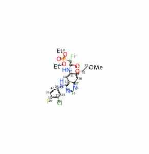 CCOP(=O)(OCC)C(F)C(=O)Nc1cc2c(Nc3ccc(F)c(Cl)c3)ncnc2cc1OCCOC